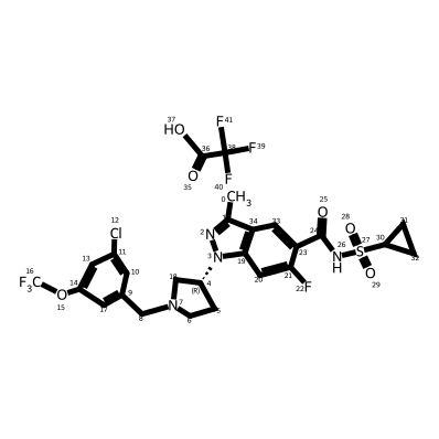 Cc1nn([C@@H]2CCN(Cc3cc(Cl)cc(OC(F)(F)F)c3)C2)c2cc(F)c(C(=O)NS(=O)(=O)C3CC3)cc12.O=C(O)C(F)(F)F